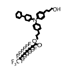 O=C(OCCCc1ccc(N(c2ccc(CCCO)cc2)c2ccc(-c3ccccc3)cc2)cc1)C(F)(F)C(F)(F)C(F)(F)C(F)(F)C(F)(F)C(F)(F)C(F)(F)F